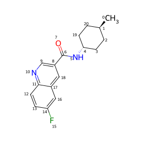 C[C@H]1CC[C@H](NC(=O)c2cnc3ccc(F)cc3c2)CC1